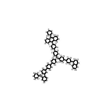 c1ccc(-c2c3ccccc3c(-c3ccc(-c4ccc(N(c5ccc(-c6ccc(-c7ccc8c(c7)c7ccccc7n8-c7ccccc7)cc6)cc5)c5ccc(-c6ccc(-c7cccc8ccccc78)cc6)cc5)cc4)cc3)c3ccccc23)cc1